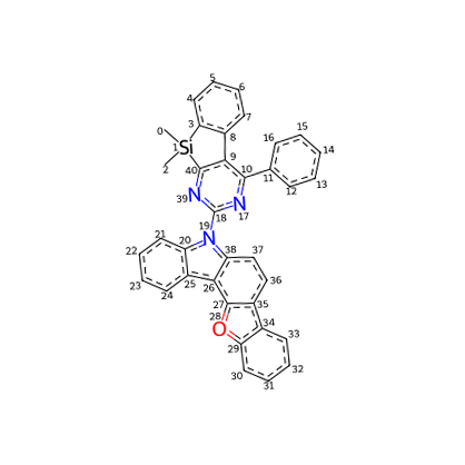 C[Si]1(C)c2ccccc2-c2c(-c3ccccc3)nc(-n3c4ccccc4c4c5oc6ccccc6c5ccc43)nc21